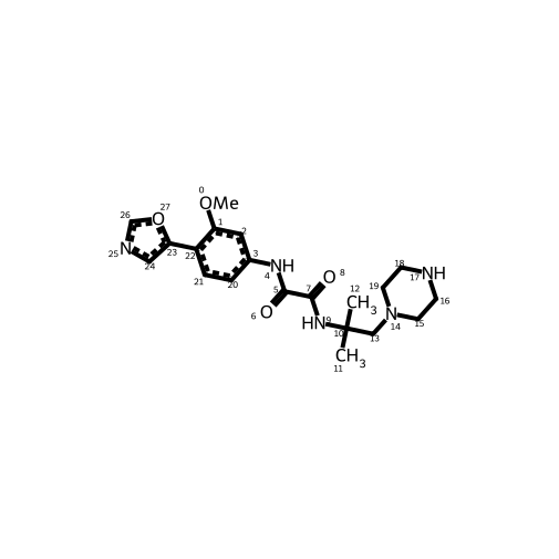 COc1cc(NC(=O)C(=O)NC(C)(C)CN2CCNCC2)ccc1-c1cnco1